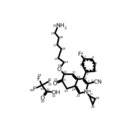 N#CC1=C(c2cccc(F)c2)C2=CC(OCCCCCCN)C(=O)CC2=CN1C1CC1.O=C(O)C(F)(F)F